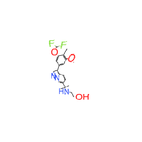 COc1cc(-c2cnn3cc(C(C)(C)NCCO)ccc23)cc(OC(F)F)c1C